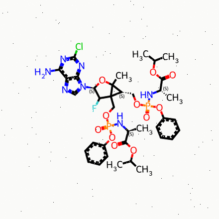 CC(C)OC(=O)[C@H](C)NP(=O)(OC[C@H]1C2(C)O[C@H](n3cnc4c(N)nc(Cl)nc43)C(F)C12COP(=O)(N[C@@H](C)C(=O)OC(C)C)Oc1ccccc1)Oc1ccccc1